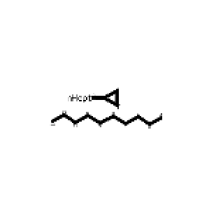 CCCCCCCC1[CH]C1.[CH2]CCCCCCCCC